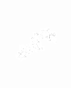 CN1C[C@H](Nc2ncc3c(-c4ccc5nccnc5c4)c[nH]c3n2)CCC1=O